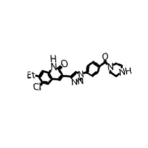 CCc1cc2[nH]c(=O)c(-c3cn(-c4ccc(C(=O)N5CCNCC5)cc4)nn3)cc2cc1Cl